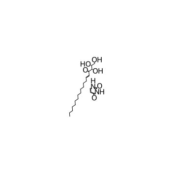 CCCCCCCCCCCCCC=CC(=O)C(O)C(O)CO.O=c1cc[nH]c(=O)[nH]1